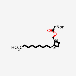 CCCCCCCCCC(=O)OC[C@H]1CC[C@H]1CCCCCCCCC(=O)O